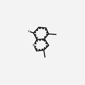 Cc1cnc2c(F)ccc(C)c2c1